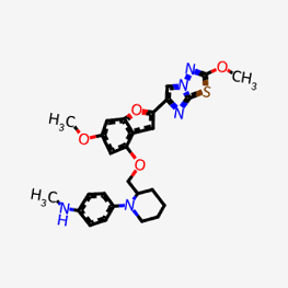 CNc1ccc(N2CCCCC2COc2cc(OC)cc3oc(-c4cn5nc(OC)sc5n4)cc23)cc1